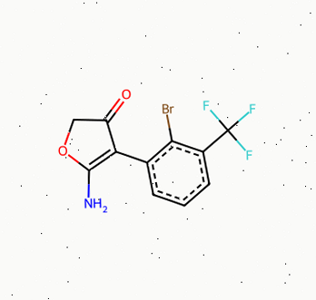 NC1=C(c2cccc(C(F)(F)F)c2Br)C(=O)CO1